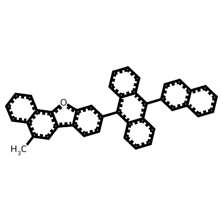 Cc1cc2c3ccc(-c4c5ccccc5c(-c5ccc6ccccc6c5)c5ccccc45)cc3oc2c2ccccc12